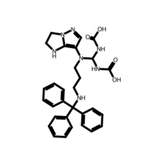 O=C(O)NC(NC(=O)O)N(CCCNC(c1ccccc1)(c1ccccc1)c1ccccc1)c1cnn2c1NCC2